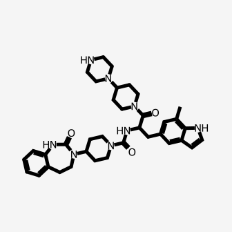 Cc1cc(CC(NC(=O)N2CCC(N3CCc4ccccc4NC3=O)CC2)C(=O)N2CCC(N3CCNCC3)CC2)cc2cc[nH]c12